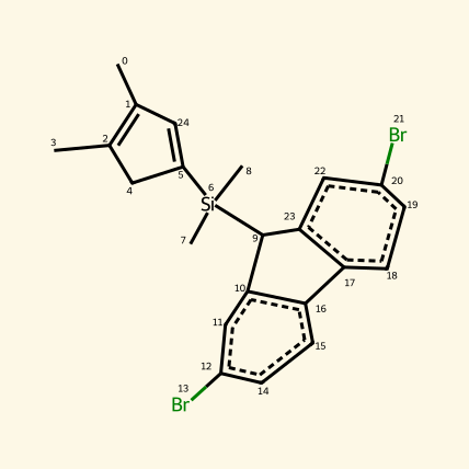 CC1=C(C)CC([Si](C)(C)C2c3cc(Br)ccc3-c3ccc(Br)cc32)=C1